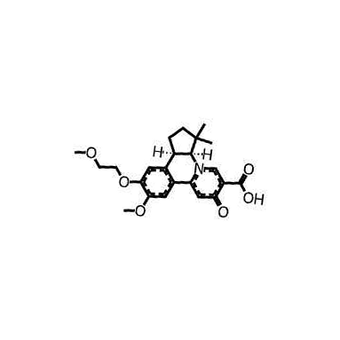 COCCOc1cc2c(cc1OC)-c1cc(=O)c(C(=O)O)cn1[C@H]1[C@@H]2CCC1(C)C